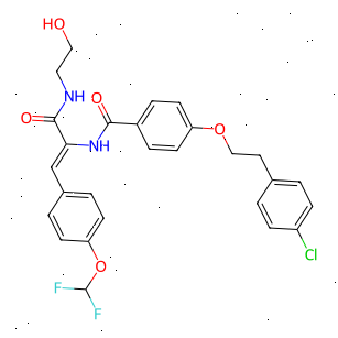 O=C(NCCO)C(=Cc1ccc(OC(F)F)cc1)NC(=O)c1ccc(OCCc2ccc(Cl)cc2)cc1